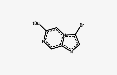 CC(C)(C)c1cn2c(Br)cnc2cn1